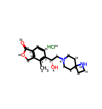 Cc1c([C@@H](O)CN2CCC3(CCN3)CC2)ccc2c1COC2=O.Cl